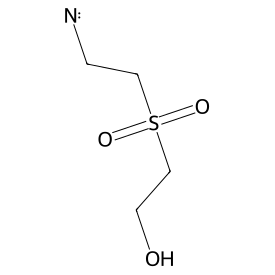 [N]CCS(=O)(=O)CCO